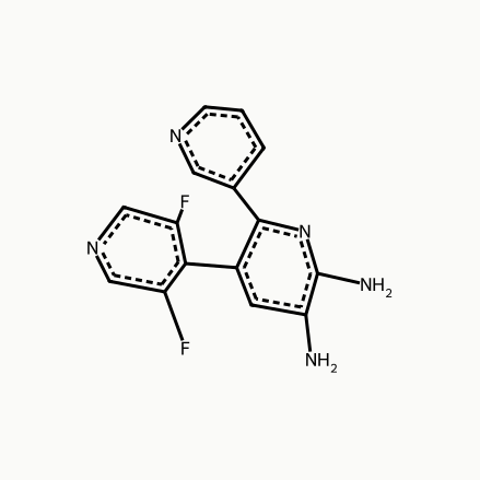 Nc1cc(-c2c(F)cncc2F)c(-c2cccnc2)nc1N